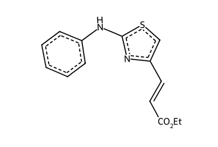 CCOC(=O)C=Cc1csc(Nc2ccccc2)n1